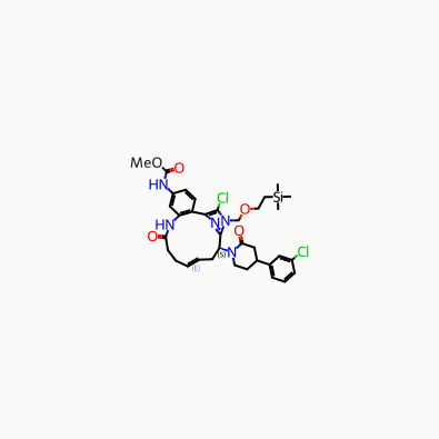 COC(=O)Nc1ccc2c(c1)NC(=O)CC/C=C/C[C@H](N1CCC(c3cccc(Cl)c3)CC1=O)c1nc-2c(Cl)n1COCC[Si](C)(C)C